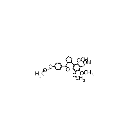 COCOc1ccc(C(=O)C2CCCC2c2cc(OC)c(OC)c(CO)c2OC)cc1